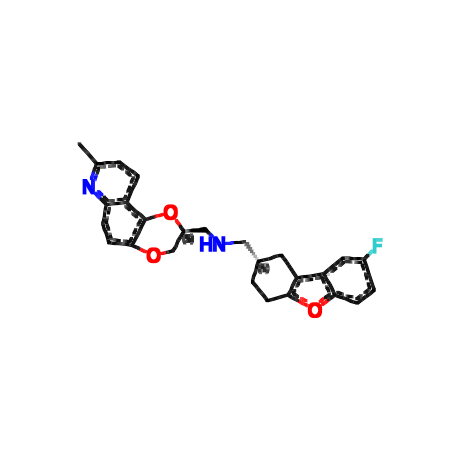 Cc1ccc2c3c(ccc2n1)OC[C@H](CNC[C@H]1CCc2oc4ccc(F)cc4c2C1)O3